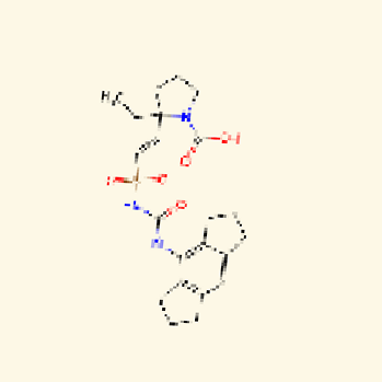 CCC1(C=CS(=O)(=O)NC(=O)Nc2c3c(cc4c2CCC4)CCC3)CCCN1C(=O)O